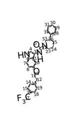 O=C(Nc1c[nH]c2ccc(OCCc3ccc(C(F)(F)F)cc3)cc12)N1CCCC(c2ccccc2)C1